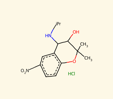 CC(C)NC1c2cc([N+](=O)[O-])ccc2OC(C)(C)C1O.Cl